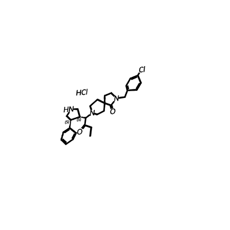 CCC(=O)C([C@@H]1CNC[C@@H]1c1ccccc1)N1CCC2(CCN(Cc3ccc(Cl)cc3)C2=O)CC1.Cl